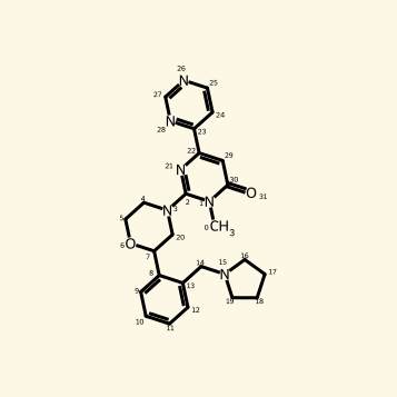 Cn1c(N2CCOC(c3ccccc3CN3CCCC3)C2)nc(-c2ccncn2)cc1=O